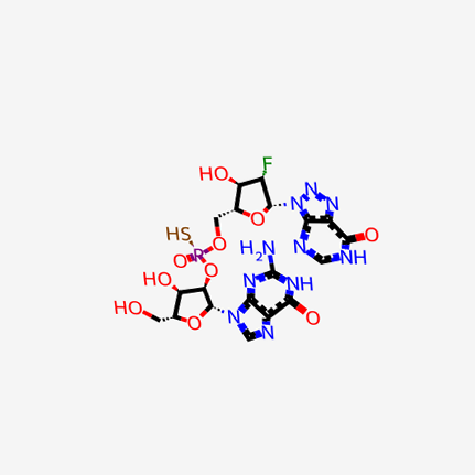 Nc1nc2c(ncn2[C@@H]2O[C@H](CO)[C@@H](O)[C@H]2O[P@](=O)(S)OC[C@H]2O[C@@H](n3nnc4c(=O)[nH]cnc43)[C@@H](F)[C@@H]2O)c(=O)[nH]1